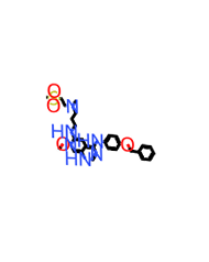 CON1C=C2NC=NC(Nc3ccc(OCc4ccccc4)cc3)=C2C=C1NCCCN(C)CCS(C)(=O)=O